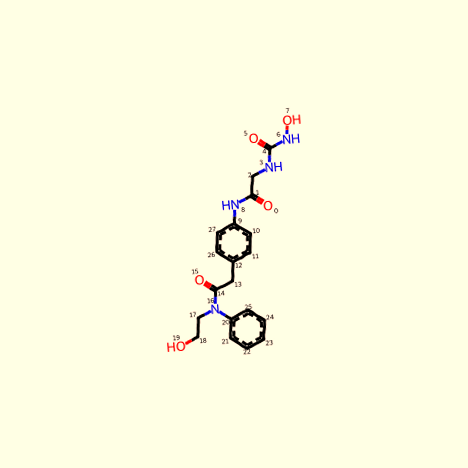 O=C(CNC(=O)NO)Nc1ccc(CC(=O)N(CCO)c2ccccc2)cc1